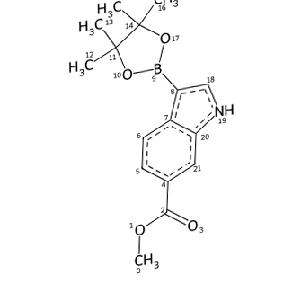 COC(=O)c1ccc2c(B3OC(C)(C)C(C)(C)O3)c[nH]c2c1